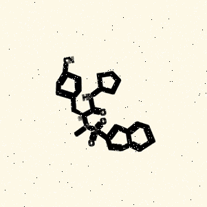 CN([C@@H](Cc1ccc(C#N)cc1)C(=O)NC1CCCC1)S(=O)(=O)c1ccc2ccccc2c1